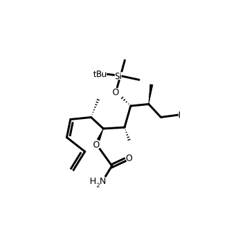 C=C/C=C\[C@H](C)[C@H](OC(N)=O)[C@@H](C)[C@H](O[Si](C)(C)C(C)(C)C)[C@@H](C)CI